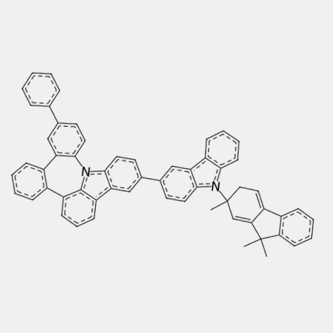 CC1(C)C2=CC(C)(n3c4ccccc4c4cc(-c5ccc6c(c5)c5cccc7c5n6-c5ccc(-c6ccccc6)cc5-c5ccccc5-7)ccc43)CC=C2c2ccccc21